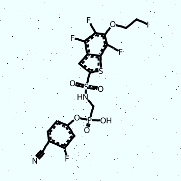 N#Cc1ccc(OP(=O)(O)CNS(=O)(=O)c2cc3c(F)c(F)c(OCCI)c(F)c3s2)cc1F